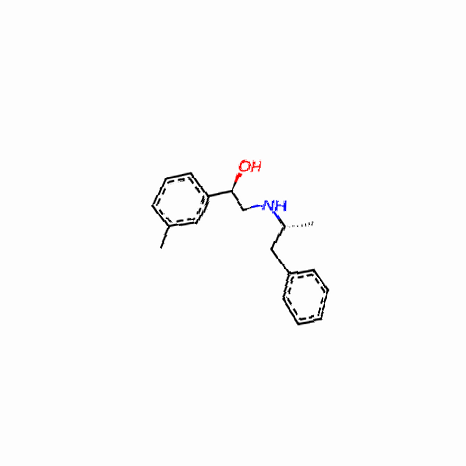 Cc1cccc([C@@H](O)CN[C@H](C)Cc2ccccc2)c1